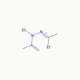 C=C(C)N(CC)/N=C(/C)CC